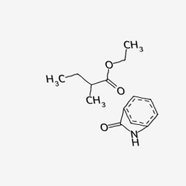 CCOC(=O)C(C)CC.O=C1Nc2cccc1c2